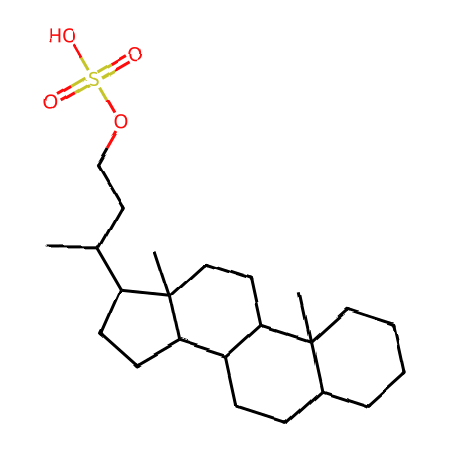 CC(CCOS(=O)(=O)O)C1CCC2C3CCC4CCCCC4(C)C3CCC12C